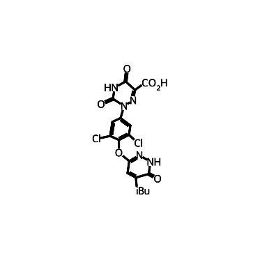 CCC(C)c1cc(Oc2c(Cl)cc(-n3nc(C(=O)O)c(=O)[nH]c3=O)cc2Cl)n[nH]c1=O